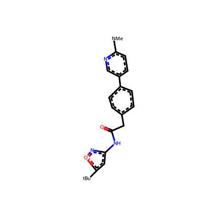 CNc1ccc(-c2ccc(CC(=O)Nc3cc(C(C)(C)C)on3)cc2)cn1